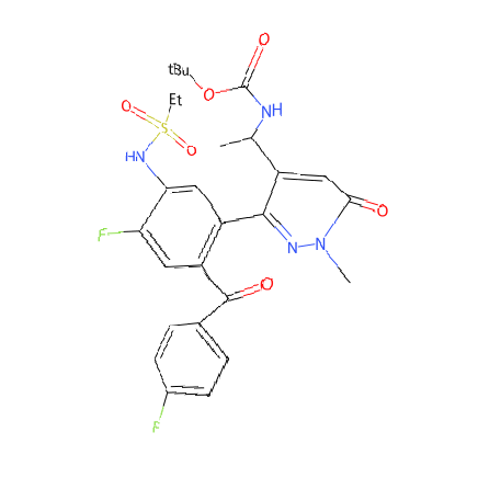 CCS(=O)(=O)Nc1cc(-c2nn(C)c(=O)cc2C(C)NC(=O)OC(C)(C)C)c(C(=O)c2ccc(F)cc2)cc1F